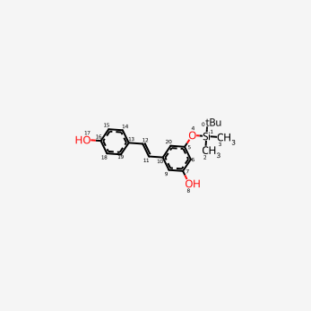 CC(C)(C)[Si](C)(C)Oc1cc(O)cc(C=Cc2ccc(O)cc2)c1